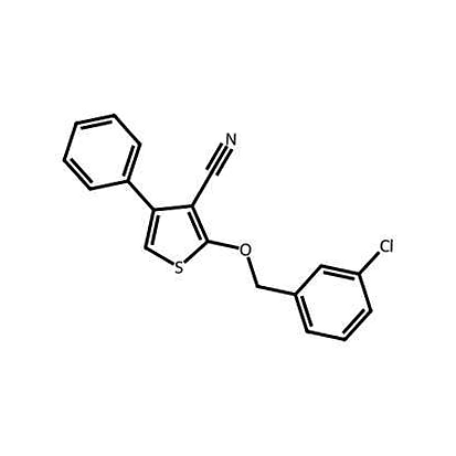 N#Cc1c(-c2ccccc2)csc1OCc1cccc(Cl)c1